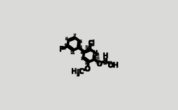 COc1cc(-c2cccc(F)c2)c(Cl)nc1OBO